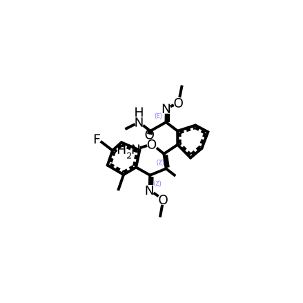 CNC(=O)/C(=N/OC)c1ccccc1/C(ON)=C(C)/C(=N\OC)c1ccc(F)cc1C